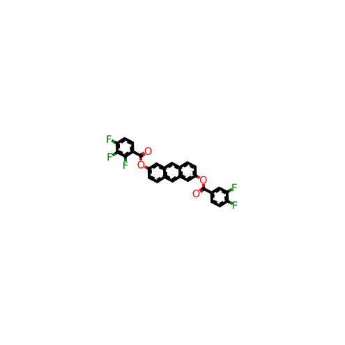 O=C(Oc1ccc2cc3cc(OC(=O)c4ccc(F)c(F)c4F)ccc3cc2c1)c1ccc(F)c(F)c1